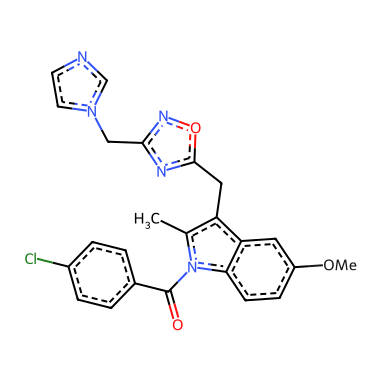 COc1ccc2c(c1)c(Cc1nc(Cn3ccnc3)no1)c(C)n2C(=O)c1ccc(Cl)cc1